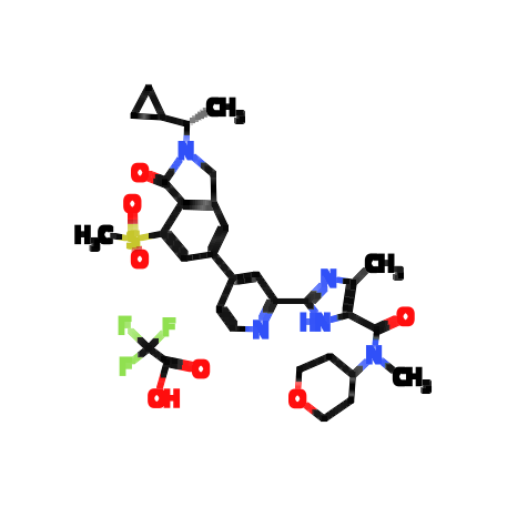 Cc1nc(-c2cc(-c3cc4c(c(S(C)(=O)=O)c3)C(=O)N([C@@H](C)C3CC3)C4)ccn2)[nH]c1C(=O)N(C)C1CCOCC1.O=C(O)C(F)(F)F